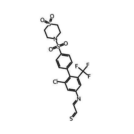 O=S1(=O)CCN(S(=O)(=O)c2ccc(-c3c(Cl)cc(N=CC=S)cc3C(F)(F)F)cc2)CC1